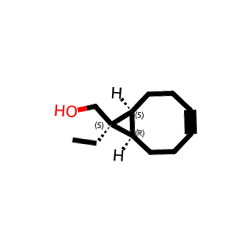 CC[C@@]1(CO)[C@@H]2CCC#CCC[C@@H]21